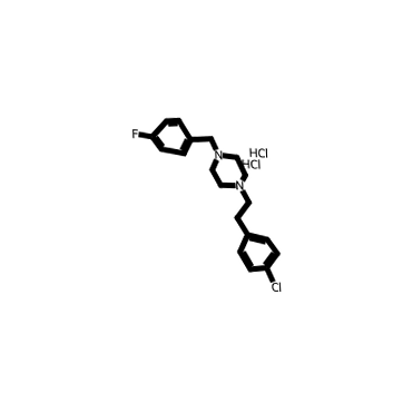 Cl.Cl.Fc1ccc(CN2CCN(CCc3ccc(Cl)cc3)CC2)cc1